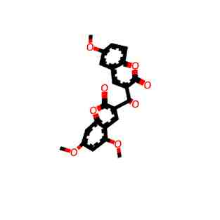 COc1ccc2oc(=O)c(C(=O)c3cc4c(OC)cc(OC)cc4oc3=O)cc2c1